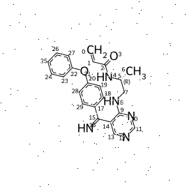 C=CC(=O)N[C@H](C)CNc1ncncc1C(=N)c1ccc(Oc2ccccc2)cc1